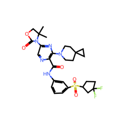 CC1(C)COC(=O)N1c1cnc(C(=O)Nc2cccc(S(=O)(=O)C3CCC(F)(F)C3)c2)c(N2CCC3(CC2)CC3)n1